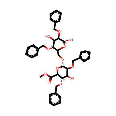 COC(=O)C1O[C@H](OCC2O[C@H](O)C(OCc3ccccc3)C(O)[C@@H]2OCc2ccccc2)C(OCc2ccccc2)C(O)[C@@H]1OCc1ccccc1